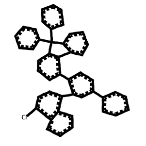 Clc1ccc(-c2cc(-c3ccccc3)ccc2-c2cccc3c2-c2ccccc2C3(c2ccccc2)c2ccccc2)c2ccccc12